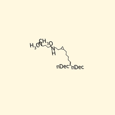 CCCCCCCCCCC(=CCCCCC1CC1CCNC(=O)CCCN(C)C)CCCCCCCCCC